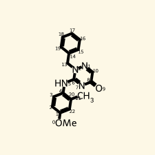 COc1ccc(Nc2nc(=O)cnn2Cc2ccccc2)c(C)c1